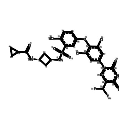 O=C(N[C@H]1C[C@H](NS(=O)(=O)c2cc(Oc3c(Cl)cc(-n4nc(C(F)F)c(=O)[nH]c4=O)cc3Cl)ccc2O)C1)C1CC1